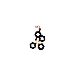 OCc1ccc(C[P](c2ccccc2)(c2ccccc2)c2ccccc2)cc1